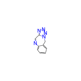 C1=Nc2ccccc2Cn2nnnc21